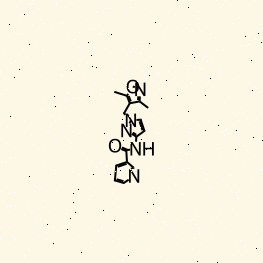 Cc1noc(C)c1Cn1ccc(NC(=O)c2cccnc2)n1